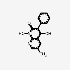 Cc1cnc2c(c1)c(O)c(-c1ccccc1)c(=O)n2O